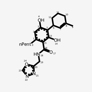 CCCCCc1cc(O)c(C2C=C(C)CCC2)c(O)c1C(=O)NCc1nnco1